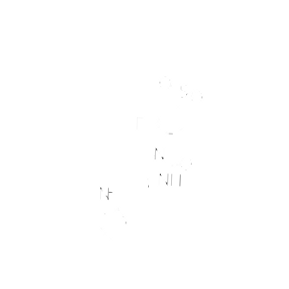 CN(C)[C@]1(c2ccccc2)CC[C@@]2(CC1)CN(c1ccc(S(C)(=O)=O)cc1F)C(=O)N2